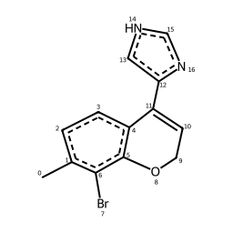 Cc1ccc2c(c1Br)OCC=C2c1c[nH]cn1